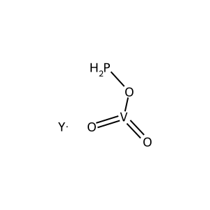 [O]=[V](=[O])[O]P.[Y]